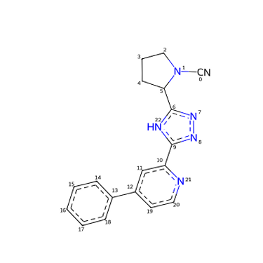 N#CN1CCCC1c1nnc(-c2cc(-c3ccccc3)ccn2)[nH]1